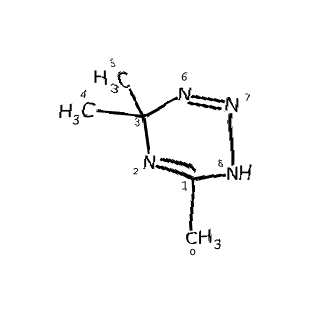 CC1=NC(C)(C)N=NN1